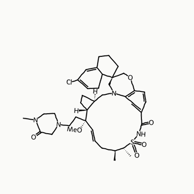 CO[C@@]1(CCN2CCN(C)C(=O)C2)/C=C/C[C@H](C)[C@@H](C)S(=O)(=O)NC(=O)c2ccc3c(c2)N(C[C@@H]2CC[C@H]21)C[C@@]1(CCCC2=CC(Cl)=CCC21)CO3